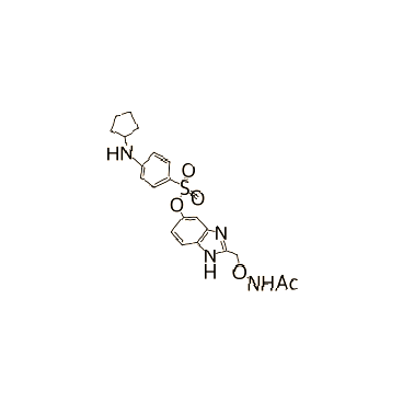 CC(=O)NOCc1nc2cc(OS(=O)(=O)c3ccc(NC4CCCC4)cc3)ccc2[nH]1